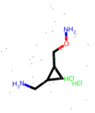 Cl.Cl.NCC1CC1CON